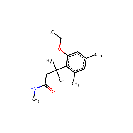 CCOc1cc(C)cc(C)c1C(C)(C)CC(=O)NC